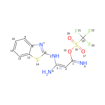 N=C(/C=C(/N)Nc1nc2ccccc2s1)OS(=O)(=O)C(F)(F)F